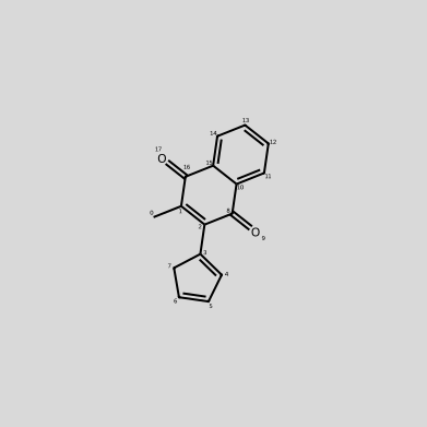 CC1=C(C2=CC=CC2)C(=O)c2ccccc2C1=O